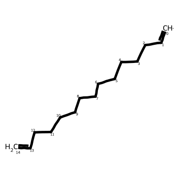 [CH]=CCCCCCCCCCCCC=C